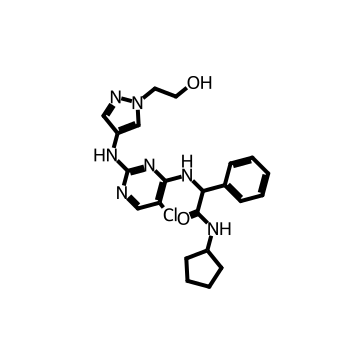 O=C(NC1CCCC1)C(Nc1nc(Nc2cnn(CCO)c2)ncc1Cl)c1ccccc1